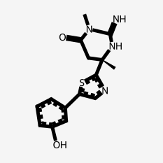 CN1C(=N)N[C@](C)(c2ncc(-c3cccc(O)c3)s2)CC1=O